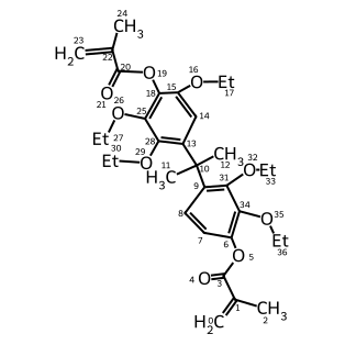 C=C(C)C(=O)Oc1ccc(C(C)(C)c2cc(OCC)c(OC(=O)C(=C)C)c(OCC)c2OCC)c(OCC)c1OCC